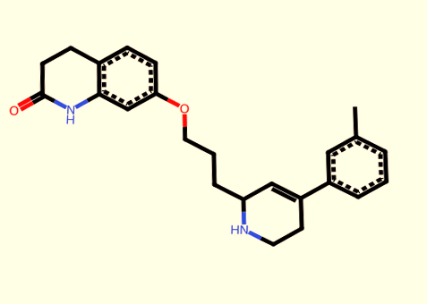 Cc1cccc(C2=CC(CCCOc3ccc4c(c3)NC(=O)CC4)NCC2)c1